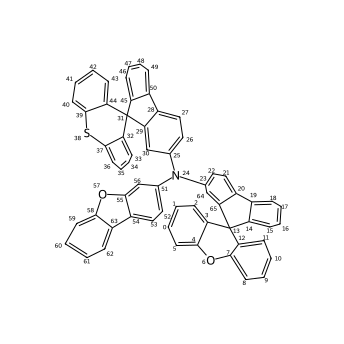 c1ccc2c(c1)Oc1ccccc1C21c2ccccc2-c2ccc(N(c3ccc4c(c3)C3(c5ccccc5Sc5ccccc53)c3ccccc3-4)c3ccc4c(c3)oc3ccccc34)cc21